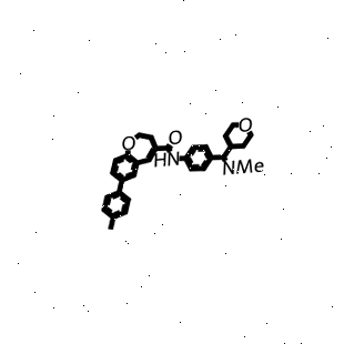 CNC(c1ccc(NC(=O)C2=Cc3cc(-c4ccc(C)cc4)ccc3OCC2)cc1)C1CCOCC1